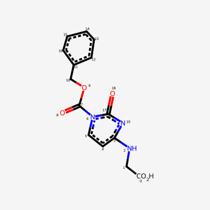 O=C(O)CNc1ccn(C(=O)OCc2ccccc2)c(=O)n1